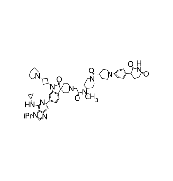 CC(C)n1cnc2cc(-c3ccc4c(c3)N([C@H]3C[C@@H](N5CCCCC5)C3)C(=O)C43CCN(CC(=O)N(C)C4CCN(C(=O)C5CCN(c6ccc(C7CCC(=O)NC7=O)cc6)CC5)CC4)CC3)nc(NC3CC3)c21